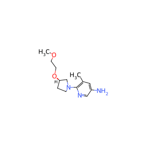 COCCO[C@@H]1CCN(c2ncc(N)cc2C)C1